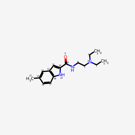 CCN(CC)CCNC(=O)c1cc2cc(C)ccc2[nH]1